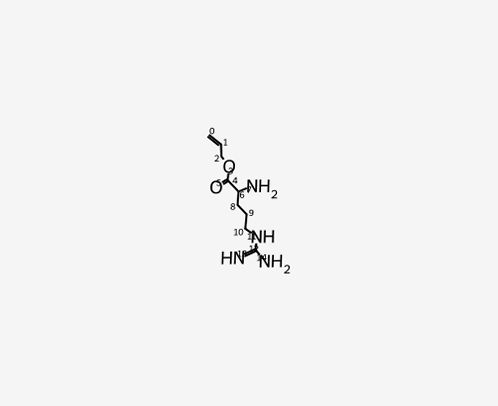 C=CCOC(=O)C(N)CCCNC(=N)N